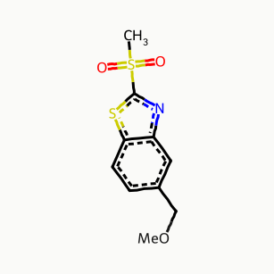 COCc1ccc2sc(S(C)(=O)=O)nc2c1